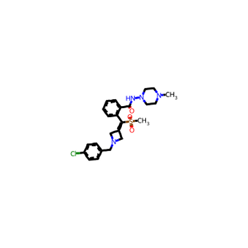 CN1CCN(NC(=O)c2ccccc2C(=C2CN(Cc3ccc(Cl)cc3)C2)S(C)(=O)=O)CC1